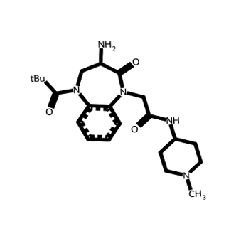 CN1CCC(NC(=O)CN2C(=O)C(N)CN(C(=O)C(C)(C)C)c3ccccc32)CC1